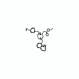 CCOC(=O)CC1CN(Cc2cccc3cccnc23)CCN1Cc1ccc(F)cc1